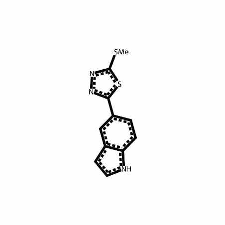 CSc1nnc(-c2ccc3[nH]ccc3c2)s1